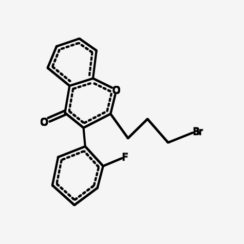 O=c1c(-c2ccccc2F)c(CCCBr)oc2ccccc12